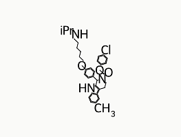 Cc1ccc2[nH]c3c(c2c1)CCN(C(=O)Oc1ccc(Cl)cc1)C3c1ccc(OCCCCCCNC(C)C)cc1